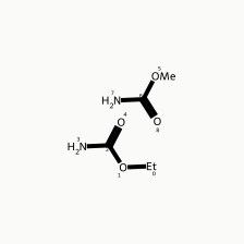 CCOC(N)=O.COC(N)=O